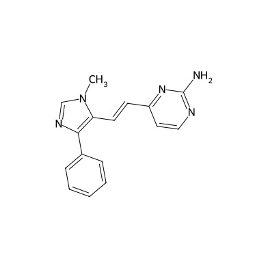 Cn1cnc(-c2ccccc2)c1C=Cc1ccnc(N)n1